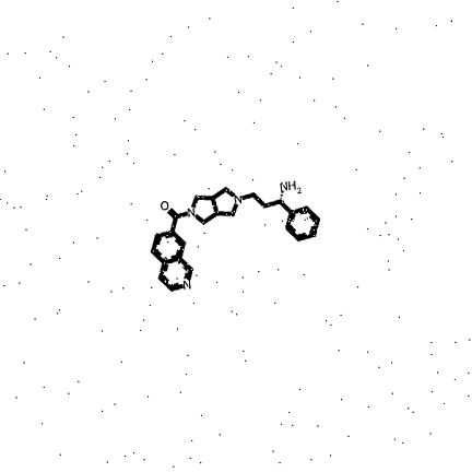 N[C@@H](CCN1CC2CN(C(=O)c3ccc4ccncc4c3)CC2C1)c1ccccc1